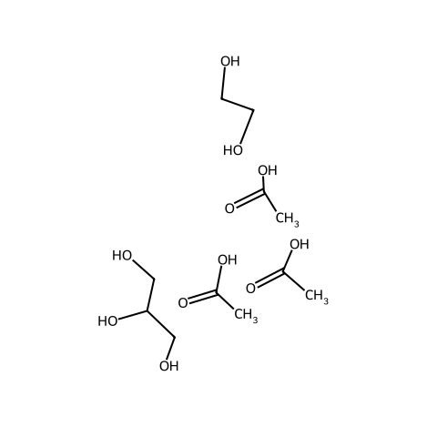 CC(=O)O.CC(=O)O.CC(=O)O.OCC(O)CO.OCCO